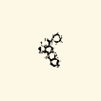 Cn1cnc2c(Nc3ccc(Cl)cc3Cl)ncc(C(=O)N3CCOCC3)c21